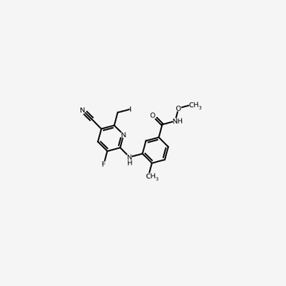 CONC(=O)c1ccc(C)c(Nc2nc(CI)c(C#N)cc2F)c1